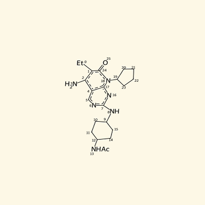 CCc1c(N)c2cnc(NC3CCC(NC(C)=O)CC3)nc2n(C2CCCC2)c1=O